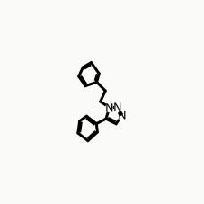 c1ccc(CCn2nncc2-c2ccccc2)cc1